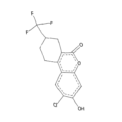 O=c1oc2cc(O)c(Cl)cc2c2c1CC(C(F)(F)F)CC2